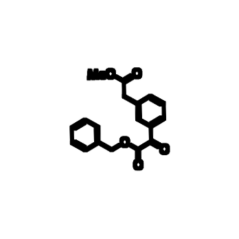 COC(=O)Cc1cccc(C(=O)C(=O)OCc2ccccc2)c1